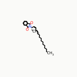 CCCCCCCCCCCCCC/C=C\[C@H](CC)N1C(=O)c2ccccc2C1=O